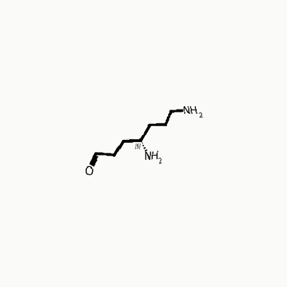 NCCC[C@H](N)CCC=O